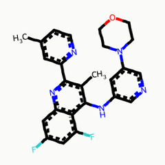 Cc1ccnc(-c2nc3cc(F)cc(F)c3c(Nc3cncc(N4CCOCC4)c3)c2C)c1